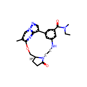 CCN(C)C(=O)c1cc2cc(c1)-c1cnn3cc(C)c(nc13)OC[C@@H]1CCC(=O)N1CCN2